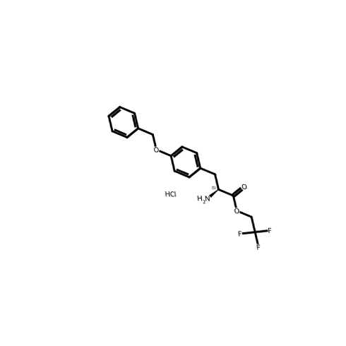 Cl.N[C@@H](Cc1ccc(OCc2ccccc2)cc1)C(=O)OCC(F)(F)F